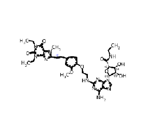 CCNC(=O)[C@H]1O[C@@H](n2cnc3c(N)nc(NCCOc4ccc(/C=C/c5nc6c(c(=O)n(CC)c(=O)n6CC)n5C)cc4OC)nc32)[C@H](O)[C@@H]1O